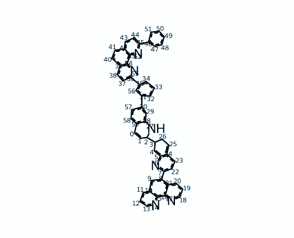 C1=CC(C2C=c3nc(-c4cc5cccnc5c5ncccc45)ccc3=CC2)Nc2cc(-c3cccc(-c4ccc5ccc6ccc(-c7ccccc7)nc6c5n4)c3)ccc21